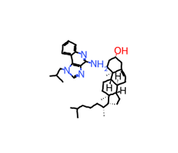 CC(C)CCC[C@@H](C)[C@H]1CC[C@H]2[C@@H]3CC=C4C[C@@H](O)CC[C@]4(C)[C@H]3CC[C@]12C.CC(C)Cn1cnc2c(N)nc3ccccc3c21